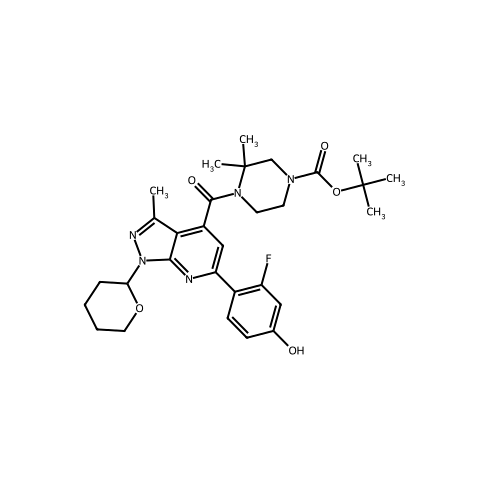 Cc1nn(C2CCCCO2)c2nc(-c3ccc(O)cc3F)cc(C(=O)N3CCN(C(=O)OC(C)(C)C)CC3(C)C)c12